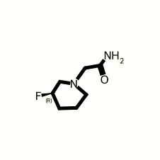 NC(=O)CN1CCC[C@@H](F)C1